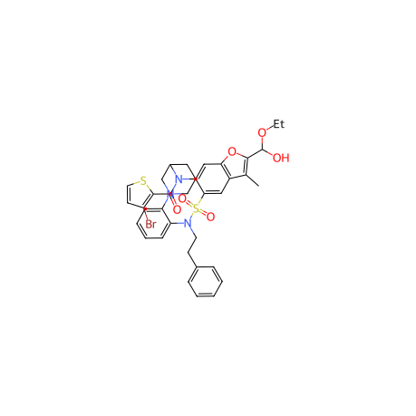 CCOC(O)c1oc2ccc(S(=O)(=O)N(CCc3ccccc3)c3ccccc3N3CC4CC(C3)N4C(=O)c3sccc3Br)cc2c1C